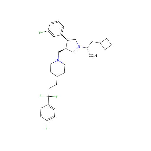 O=C(O)[C@@H](CC1CCC1)N1C[C@@H](CN2CCC(CCC(F)(F)c3ccc(F)cc3)CC2)[C@@H](c2cccc(F)c2)C1